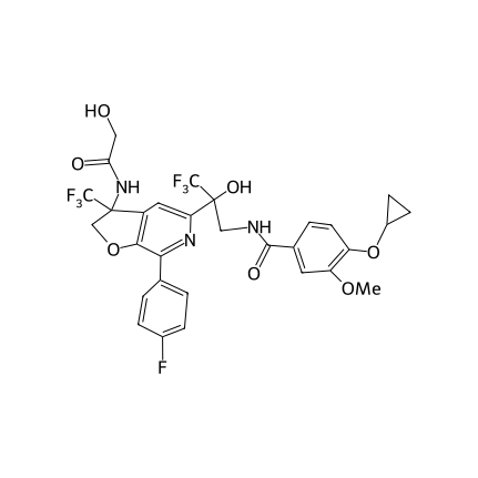 COc1cc(C(=O)NCC(O)(c2cc3c(c(-c4ccc(F)cc4)n2)OCC3(NC(=O)CO)C(F)(F)F)C(F)(F)F)ccc1OC1CC1